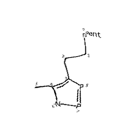 CCCCCCCC1=C(C)[N]P=P1